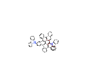 C1=Cc2c(c3c(n2-c2ccc4c(-c5ccccc5-c5cccc6ccccc56)c5cc(-n6c7ccccc7c7ccccc76)ccc5c(-c5ccccc5-c5cccc6ccccc56)c4c2)CCC=C3)CC1